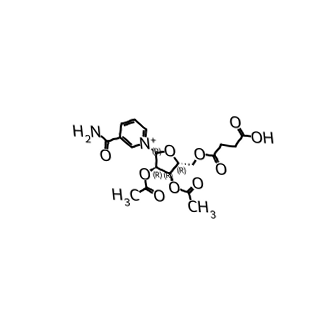 CC(=O)O[C@@H]1[C@H](OC(C)=O)[C@@H](COC(=O)CCC(=O)O)O[C@H]1[n+]1cccc(C(N)=O)c1